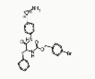 N[C@@H]1C[C@H]1c1ccc(NC(=O)C(Cc2ccccc2)NC(=O)OCc2ccc(Br)cc2)cc1